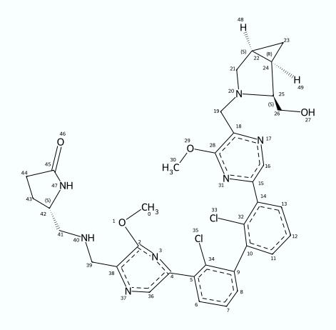 COc1nc(-c2cccc(-c3cccc(-c4cnc(CN5C[C@H]6C[C@H]6[C@H]5CO)c(OC)n4)c3Cl)c2Cl)cnc1CNC[C@@H]1CCC(=O)N1